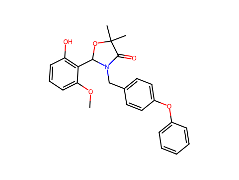 COc1cccc(O)c1C1OC(C)(C)C(=O)N1Cc1ccc(Oc2ccccc2)cc1